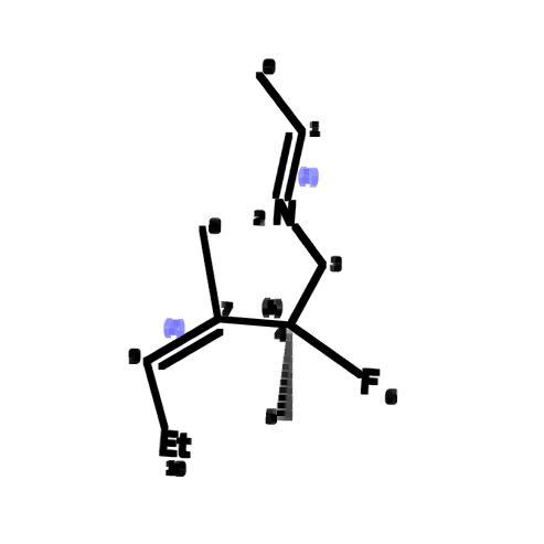 C/C=N/C[C@@](C)(F)/C(C)=C\CC